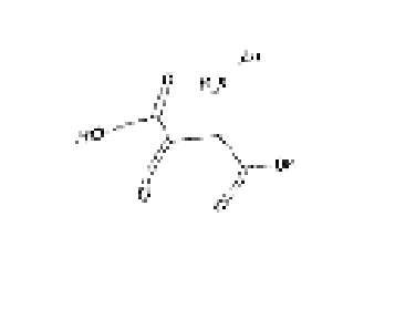 O=C(O)CC(=O)C(=O)O.S.[Au]